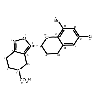 O=C(O)N1CCc2noc([C@H]3CCc4cc(Cl)cc(Br)c4O3)c2C1